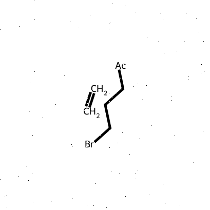 C=C.CC(=O)CCCBr